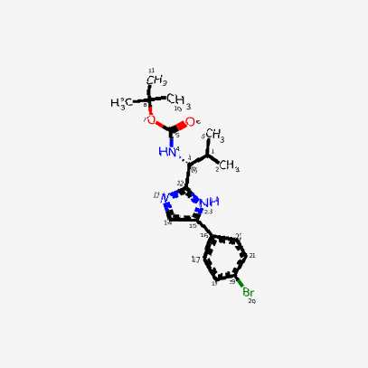 CC(C)[C@@H](NC(=O)OC(C)(C)C)c1ncc(-c2ccc(Br)cc2)[nH]1